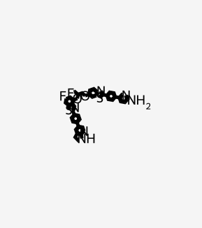 Nc1ccc(-c2ccc(-c3nc4ccc(OCC(CF)Oc5cc(F)cc6sc(-c7ccc(-c8cnc9c(c8)CCN9)cc7)nc56)cc4s3)cc2)cn1